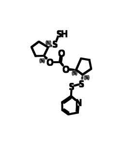 O=C(O[C@H]1CCC[C@@H]1SS)O[C@H]1CCC[C@@H]1SSc1ccccn1